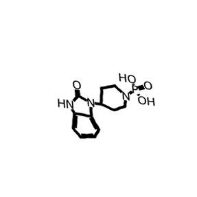 O=c1[nH]c2ccccc2n1C1CCN(P(=O)(O)O)CC1